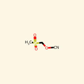 CS(=O)(=O)COC#N